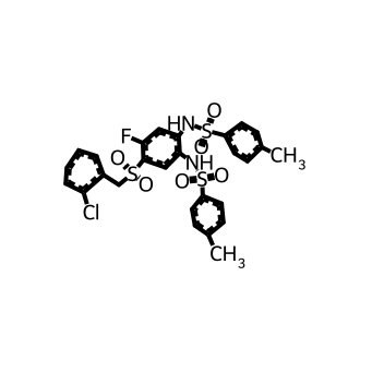 Cc1ccc(S(=O)(=O)Nc2cc(F)c(S(=O)(=O)Cc3ccccc3Cl)cc2NS(=O)(=O)c2ccc(C)cc2)cc1